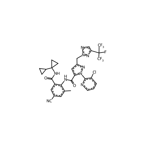 Cc1cc(C#N)cc(C(=O)NC2(C3CC3)CC2)c1NC(=O)c1cc(Cn2ncc(C(F)(C(F)(F)F)C(F)(F)F)n2)nn1-c1ncccc1Cl